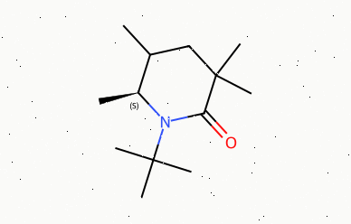 CC1CC(C)(C)C(=O)N(C(C)(C)C)[C@H]1C